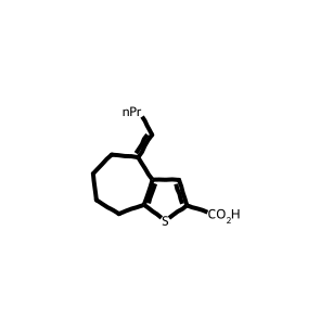 CCC/C=C1\CCCCc2sc(C(=O)O)cc21